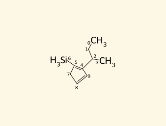 CCC(C)C1=C([SiH3])CC=C1